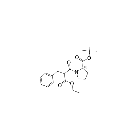 CCOC(=O)C(Cc1ccccc1)C(=O)N1CCC[C@H]1C(=O)OC(C)(C)C